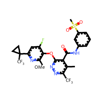 COc1nc(C2(C(F)(F)F)CC2)cc(F)c1Oc1nnc(C(F)(F)F)c(C)c1C(=O)Nc1cccc(S(C)(=O)=O)c1